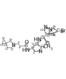 Cc1ncc(NC(=O)CCN2CCC3(CC3)C2)cc1NC(=O)c1cnn2cc(Br)sc12